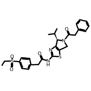 CCS(=O)(=O)c1ccc(CC(=O)Nc2nc3c(s2)CN(C(=O)Cc2ccccc2)[C@@H]3C(C)C)cc1